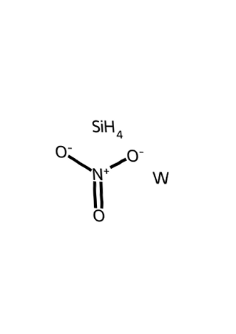 O=[N+]([O-])[O-].[SiH4].[W]